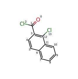 O=C(Cl)c1ccc2ccccc2c1Cl